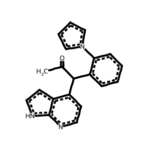 CC(=O)C(c1ccccc1-n1cccc1)c1ccnc2[nH]ccc12